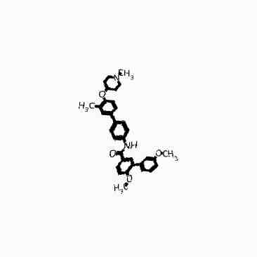 COc1cccc(-c2cc(C(=O)Nc3ccc(-c4ccc(OC5CCN(C)CC5)c(C)c4)cc3)ccc2OC)c1